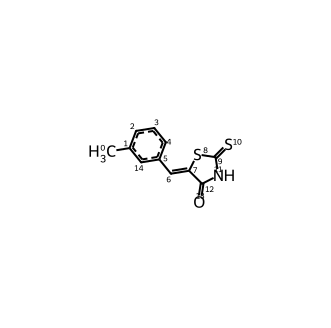 Cc1cccc(/C=C2\SC(=S)NC2=O)c1